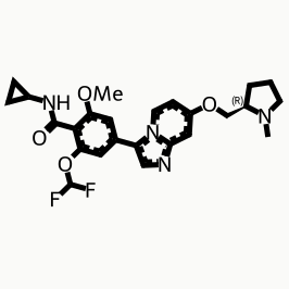 COc1cc(-c2cnc3cc(OC[C@H]4CCCN4C)ccn23)cc(OC(F)F)c1C(=O)NC1CC1